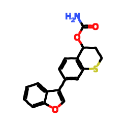 NC(=O)OC1CCSc2cc(-c3coc4ccccc34)ccc21